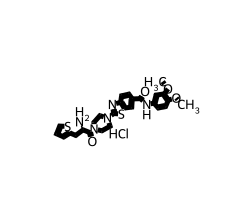 COc1ccc(NC(=O)c2ccc3nc(N4CCN(C(=O)[C@@H](N)Cc5cccs5)CC4)sc3c2)cc1OC.Cl